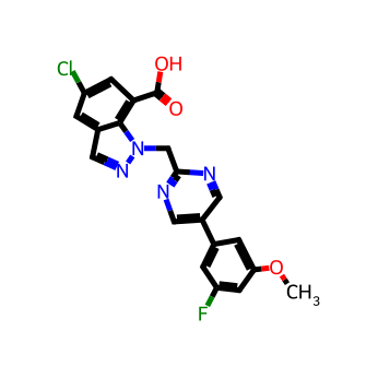 COc1cc(F)cc(-c2cnc(Cn3ncc4cc(Cl)cc(C(=O)O)c43)nc2)c1